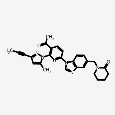 CC#Cc1cc(C)n(-c2nc(-n3cnc4cc(CN5CCCCC5=O)ccc43)ccc2C(C)=O)n1